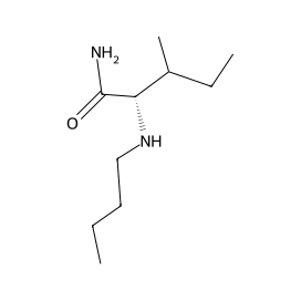 CCCCN[C@H](C(N)=O)C(C)CC